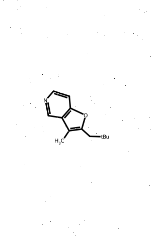 Cc1c(CC(C)(C)C)oc2ccncc12